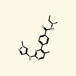 CC[C@@H](C)NC(=O)c1ccc(-c2nc(Nc3cnn(C)c3)ncc2C)cc1